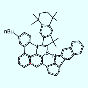 CCCCc1ccc(N2C3=C(B4c5c(cc(C)cc52)-c2cccc5c6cc7ccccc7cc6n4c25)C(C)(C)c2cc4c(cc23)C(C)(C)CCC4(C)C)c(-c2ccccc2)c1